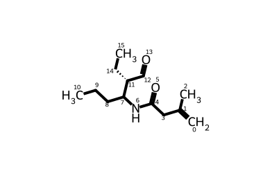 C=C(C)CC(=O)NC(CCC)[C@@H](C=O)CC